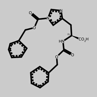 O=C(N[C@@H](Cc1cn(C(=O)OCc2ccccc2)cn1)C(=O)O)OCc1ccccc1